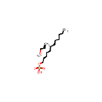 C=CC[O-].CCCCCCCCCCCCOS(=O)(=O)O.[Na+]